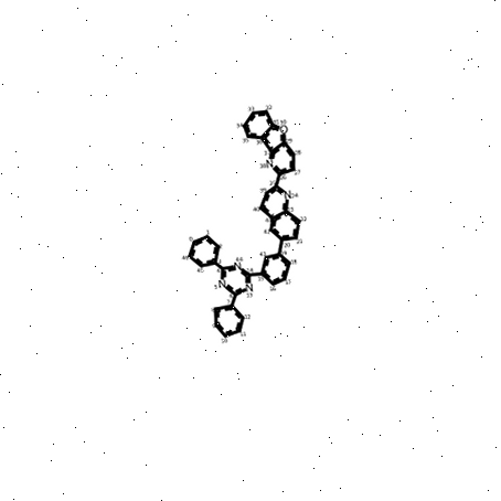 c1ccc(-c2nc(-c3ccccc3)nc(-c3cccc(-c4ccc5nc(-c6ccc7oc8ccccc8c7n6)ccc5c4)c3)n2)cc1